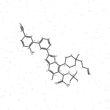 C=CCCC1(C)CCN(c2c(C(OC(C)(C)C)C(=O)O)c(C)nc3cc(-c4cccc(-c5cc(C#N)ccc5O)c4)nn23)CC1